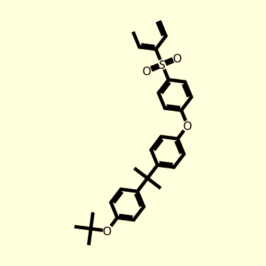 C=C/C(=C\C)S(=O)(=O)c1ccc(Oc2ccc(C(C)(C)c3ccc(OC(C)(C)C)cc3)cc2)cc1